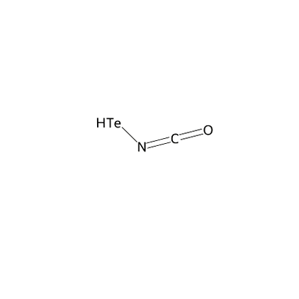 O=C=N[TeH]